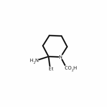 CCC1(N)CCCCN1C(=O)O